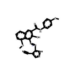 COc1ccc(NC(=O)c2cc3cccc(OC)c3c(/N=N/c3[nH]ncc3C#N)c2O)cc1